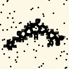 COc1cc(-c2ccc3c(c2)Nc2cc(CC(=O)NCc4cncs4)ccc2NC3=O)ccc1[N+](=O)[O-]